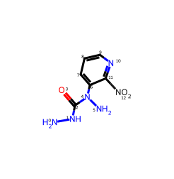 NNC(=O)N(N)c1cccnc1[N+](=O)[O-]